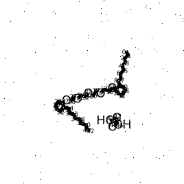 CCCCCCCCCc1ccccc1OCCOCCOCCOCCOc1ccccc1CCCCCCCCC.O=S(=O)(O)O